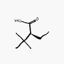 CC[C@H](C(=O)O)C(C)(C)C